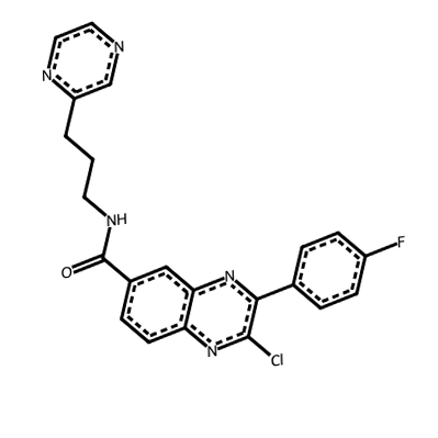 O=C(NCCCc1cnccn1)c1ccc2nc(Cl)c(-c3ccc(F)cc3)nc2c1